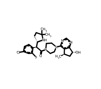 C[C@@H]1C[C@@H](O)c2ncnc(N3CCN(C(=O)[C@@H](c4ccc(Cl)cc4F)[C@@H]4CCC(C)(C)N4)CC3)c21